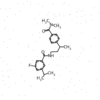 CC(C)c1cc(F)cc(C(=O)NCCC(C)c2ccc(C(=O)N(C)C)cc2)c1